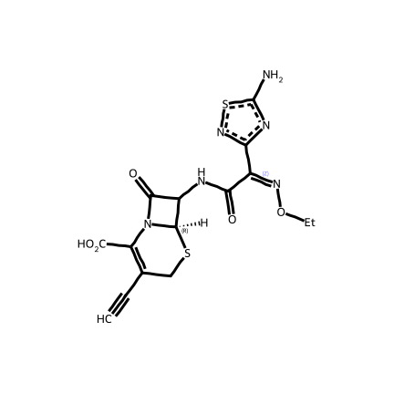 C#CC1=C(C(=O)O)N2C(=O)C(NC(=O)/C(=N\OCC)c3nsc(N)n3)[C@H]2SC1